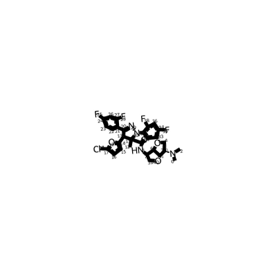 CN(C)[C@H]1COC2C(NC(=O)C3(C)C(c4ccc(Cl)o4)C(c4ccc(F)cc4F)=NN3c3ccc(F)cc3F)COC21